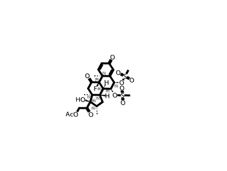 CC(=O)OCC(=O)[C@@]1(O)[C@@H](C)C[C@H]2[C@@H]3[C@@H](OS(C)(=O)=O)[C@@H](OS(C)(=O)=O)C4=CC(=O)C=C[C@]4(C)[C@@]3(F)C(=O)C[C@@]21C